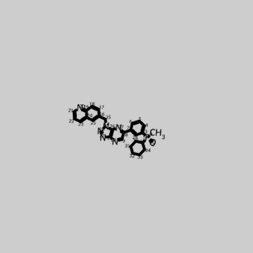 CP(=O)(c1cccc(-c2cnc3nnn(Cc4ccc5ncccc5c4)c3n2)c1)C1CCCCC1